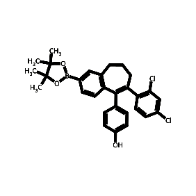 CC1(C)OB(c2ccc3c(c2)CCCC(c2ccc(Cl)cc2Cl)=C3c2ccc(O)cc2)OC1(C)C